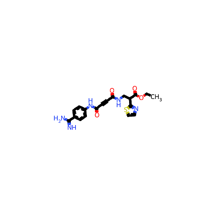 CCOC(=O)C(CNC(=O)C#CC(=O)Nc1ccc(C(=N)N)cc1)c1nccs1